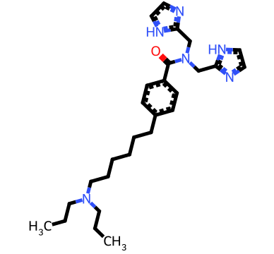 CCCN(CCC)CCCCCCc1ccc(C(=O)N(Cc2ncc[nH]2)Cc2ncc[nH]2)cc1